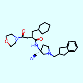 N#C[C@]1(NC(=O)[C@@H](CC(=O)N2CCOCC2)CC2CCCCC2)CCN(CC2Cc3ccccc3C2)C1